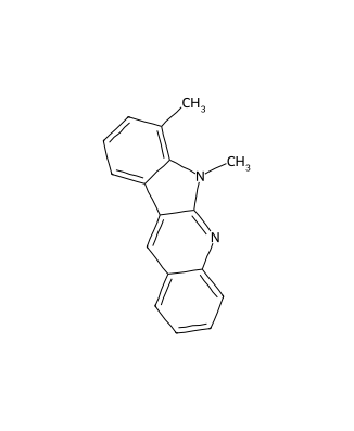 Cc1cccc2c3cc4ccccc4nc3n(C)c12